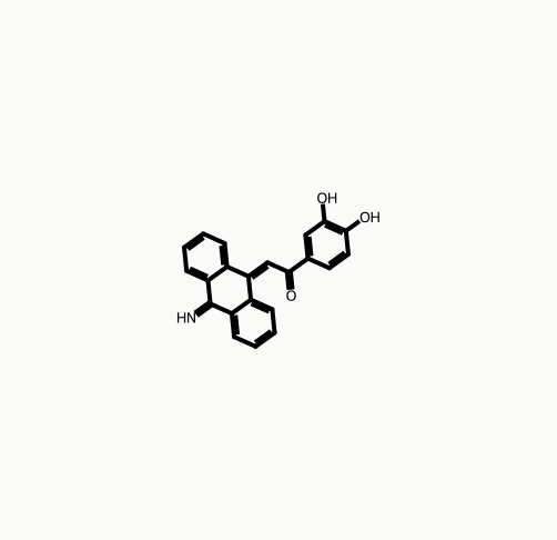 N=C1c2ccccc2C(=CC(=O)c2ccc(O)c(O)c2)c2ccccc21